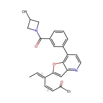 C/C=C(\C=C/C(=O)CC)c1cc2nccc(-c3cccc(C(=O)N4CC(N=O)C4)c3)c2o1